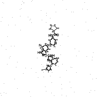 Cc1ccc(-c2ccnc3[nH]c(-c4n[nH]c5c(F)cc(-c6cncc(NC(=O)C7CCCC7)c6)cc45)nc23)s1